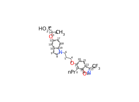 CCCc1c(OCCCn2ccc3cc(OC(C)C(=O)O)ccc32)ccc2c(C(F)(F)F)noc12